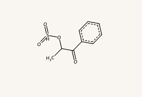 C[C](O[SH](=O)=O)C(=O)c1ccccc1